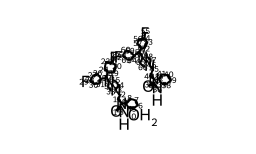 O.O=c1[nH]c2ccccc2n1CCN1CCN(C(c2ccc(F)cc2)c2ccc(F)cc2)CC1.O=c1[nH]c2ccccc2n1CCN1CCN(C(c2ccc(F)cc2)c2ccc(F)cc2)CC1